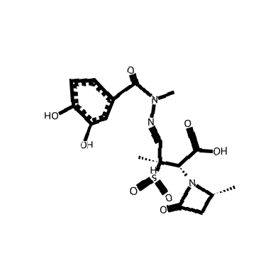 C[C@@H]1CC(=O)N1[C@@H](C(=O)O)[C@](C)(/C=N/N(C)C(=O)c1ccc(O)c(O)c1)[SH](=O)=O